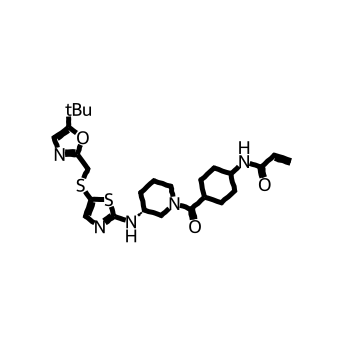 C=CC(=O)NC1CCC(C(=O)N2CCC[C@@H](Nc3ncc(SCc4ncc(C(C)(C)C)o4)s3)C2)CC1